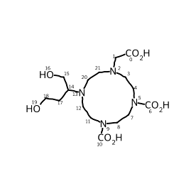 O=C(O)CN1CCN(C(=O)O)CCN(C(=O)O)CCN(C(CO)CCO)CC1